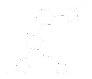 Cn1cc(-c2cccc(-c3ncc(-c4cnn(C)c4)c(NCC4CCC4)n3)c2)cn1